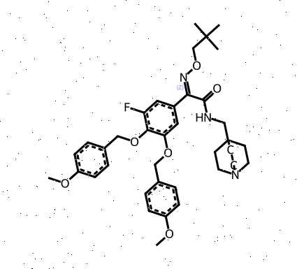 COc1ccc(COc2cc(/C(=N/OCC(C)(C)C)C(=O)NCC34CCN(CC3)CC4)cc(F)c2OCc2ccc(OC)cc2)cc1